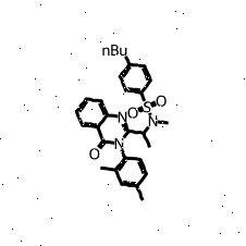 CCCCc1ccc(S(=O)(=O)N(C)C(C)c2nc3ccccc3c(=O)n2-c2ccc(C)cc2C)cc1